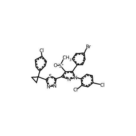 C[S+]([O-])c1c(-c2nnc(C3(c4ccc(Cl)cc4)CC3)s2)nn(-c2ccc(Cl)cc2Cl)c1-c1ccc(Br)cc1